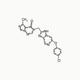 Cc1ncn2ncn(Cc3nc4cnc(Oc5ccc(Cl)cc5)cc4[nH]3)c(=O)c12